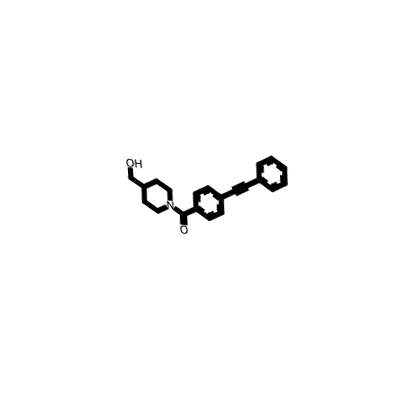 O=C(c1ccc(C#Cc2ccccc2)cc1)N1CCC(CO)CC1